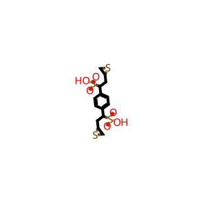 O=S(=O)(O)C(CC1CS1)c1ccc(C(CC2CS2)S(=O)(=O)O)cc1